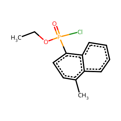 CCOP(=O)(Cl)c1ccc(C)c2ccccc12